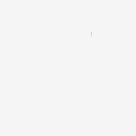 CCCCCCOc1ccc(-c2cc[c]cc2)cc1F